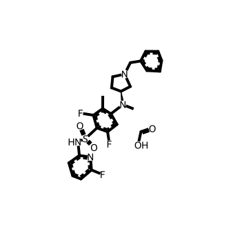 Cc1c(N(C)[C@H]2CCN(Cc3ccccc3)C2)cc(F)c(S(=O)(=O)Nc2cccc(F)n2)c1F.O=CO